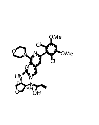 C=CC(O)N[C@H]1COC[C@H]1Nc1ncc2cc(-c3c(Cl)c(OC)cc(OC)c3Cl)nc(N3CCOCC3)c2n1